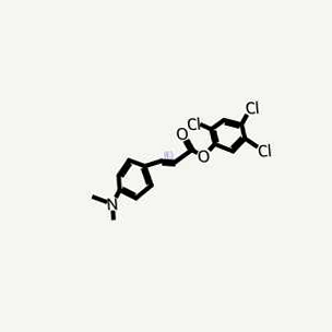 CN(C)c1ccc(/C=C/C(=O)Oc2cc(Cl)c(Cl)cc2Cl)cc1